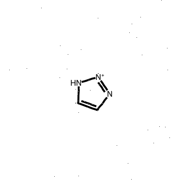 [C]1=CN=[N+]N1